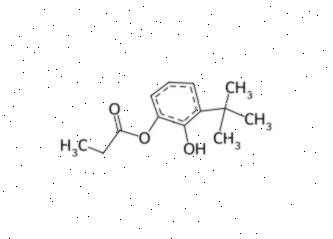 CCC(=O)Oc1cccc(C(C)(C)C)c1O